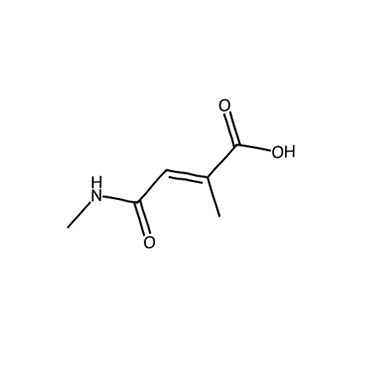 CNC(=O)/C=C(\C)C(=O)O